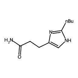 CCCCc1nc(CCC(N)=O)c[nH]1